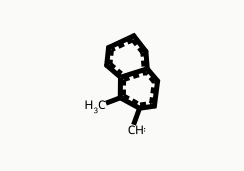 [CH]c1ccc2ccccc2c1C